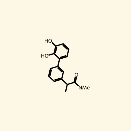 CNC(=O)C(C)c1cccc(-c2cccc(O)c2O)c1